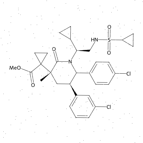 COC(=O)C1([C@@]2(C)C[C@H](c3cccc(Cl)c3)C(c3ccc(Cl)cc3)N([C@H](CNS(=O)(=O)C3CC3)C3CC3)C2=O)CC1